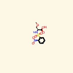 COC[C@H](NS(=O)(=O)c1ccccc1[N+](=O)[O-])C(=O)O